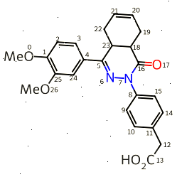 COc1ccc(C2=NN(c3ccc(CC(=O)O)cc3)C(=O)C3CC=CCC23)cc1OC